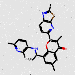 Cc1cc(C(C)Nc2ccc(C)nc2C(=O)O)c2oc(-c3ccc4nc(C)sc4n3)c(C)c(=O)c2c1